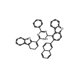 C1=CC2C=CC(c3ccc4oc5ccccc5c4c3C3N=C(c4ccccc4)N=C(C4=CCCc5c4oc4ccccc54)N3)=CC2C=C1